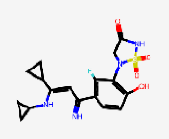 N=C(/C=C(\NC1CC1)C1CC1)c1ccc(O)c(N2CC(=O)NS2(=O)=O)c1F